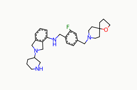 Fc1cc(CN2CCC3(CCCO3)CC2)ccc1CNc1cccc2c1CN(C1CCCNC1)C2